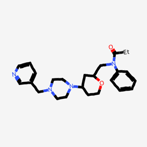 CCC(=O)N(CC1CC(N2CCN(Cc3cccnc3)CC2)CCO1)c1ccccc1